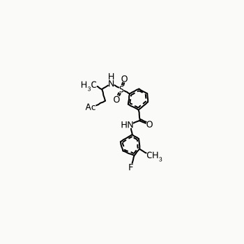 CC(=O)CC(C)NS(=O)(=O)c1cccc(C(=O)Nc2ccc(F)c(C)c2)c1